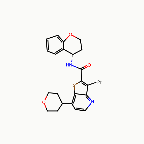 CC(C)c1c(C(=O)N[C@H]2CCOc3ccccc32)sc2c(C3CCOCC3)ccnc12